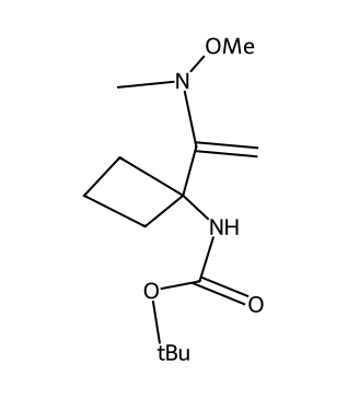 C=C(N(C)OC)C1(NC(=O)OC(C)(C)C)CCC1